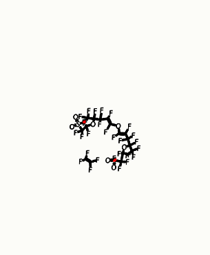 FC(F)=C(F)F.O=S(=O)(F)C(F)(F)C(F)(F)OC(F)(C(F)(F)F)C(F)(F)C(F)=C(F)OC(F)=C(F)C(F)(F)C(F)(OC(F)(F)C(F)(F)S(=O)(=O)F)C(F)(F)F